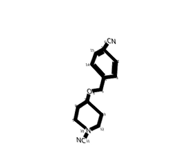 N#Cc1ccc(COC2CCN(C#N)CC2)cc1